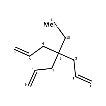 C=CCC(CC=C)(CC=C)CNC